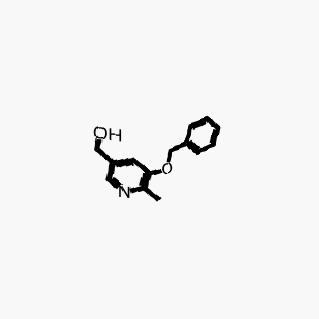 Cc1ncc(CO)cc1OCc1ccccc1